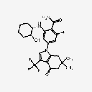 CC1(C)CC(=O)c2c(C(F)(F)F)cn(-c3cc(F)c(C(N)=O)c(N[C@H]4CCCC[C@@H]4O)c3)c2C1